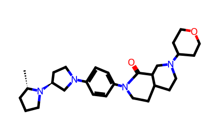 C[C@H]1CCCN1[C@H]1CCN(c2ccc(N3CCC4CCN(C5CCOCC5)CC4C3=O)cc2)C1